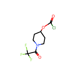 O=C(Cl)OC1CCN(C(=O)C(F)(F)F)CC1